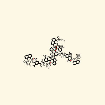 CC(C)c1cc(C(=O)NC(=O)c2cc(C(C)C)c(NC(=O)Oc3c(Nc4cccc5c4C(=O)c4cccc(Nc6ccc7cccc(OC(N)=O)c7c6OC(=O)Nc6c(C(C)C)cc(C(=O)NC(=O)c7cc(C(C)C)c(NC(=O)Oc8cccc9cccc(OC(N)=O)c89)c(C(C)C)c7)cc6C(C)C)c4C5=O)ccc4cccc(OC(N)=O)c34)c(C(C)C)c2)cc(C(C)C)c1NC(=O)Oc1cccc2cccc(OC(N)=O)c12